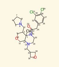 CC12C(CN3CCCC3)COCC1N(CC1COC1)CCN2C(=O)Cc1ccc(Cl)c(Cl)c1